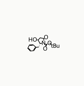 CC(C)(C)OC(=O)N1C(=O)C[C@H](O)[C@H]1Cc1ccccc1